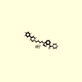 Cl.Cl.O=C(c1cccc2c1ncn2CCCCN1CC=C(c2ccccc2)CC1)N1CCOCC1